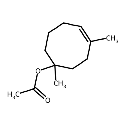 CC(=O)OC1(C)CCCC=C(C)CC1